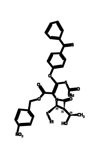 CCS[C@@H]1[C@@H]([C@@H](C)O)C(=O)N1C(C(=O)OCc1ccc([N+](=O)[O-])cc1)=C(Oc1ccc(C(=S)c2ccccc2)cc1)SC(=O)C(C)(C)C